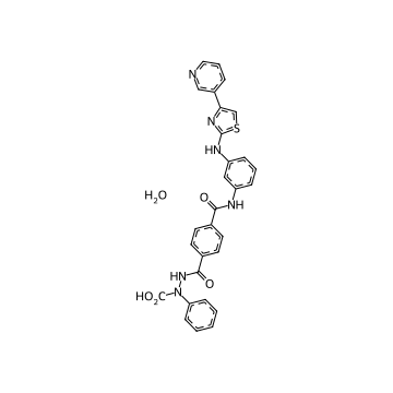 O.O=C(Nc1cccc(Nc2nc(-c3cccnc3)cs2)c1)c1ccc(C(=O)NN(C(=O)O)c2ccccc2)cc1